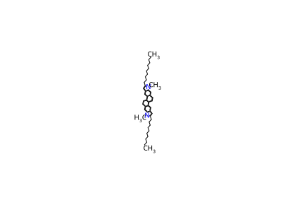 CCCCCCCCCCCc1cc2cc3c(ccc4c5cc6cc(CCCCCCCCCCC)n(C)c6cc5ccc34)cc2n1C